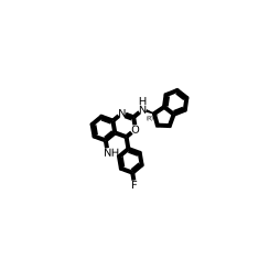 Nc1cccc2c1C(c1ccc(F)cc1)OC(N[C@@H]1CCc3ccccc31)=N2